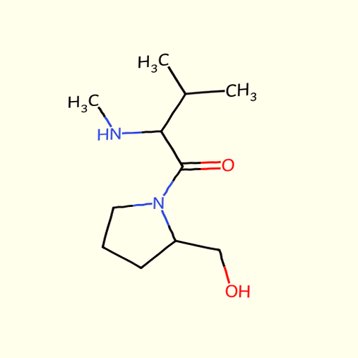 CNC(C(=O)N1CCCC1CO)C(C)C